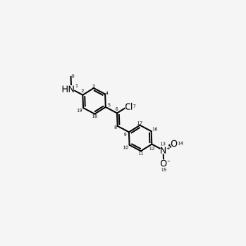 CNc1ccc(C(Cl)=Cc2ccc([N+](=O)[O-])cc2)cc1